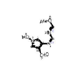 CO/C=N/C=N\c1cn(O)cc1C=O